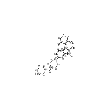 Cn1c(=O)n(N2C(=O)CCCC2=O)c2ccc(C3CCN(CC4CCCNC4)CC3)cc21